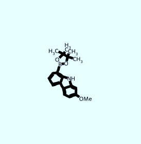 COc1ccc2c(c1)[nH]c1c(B3OC(C)(C)C(C)(C)O3)cccc12